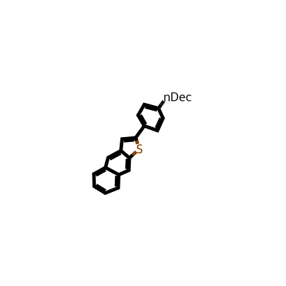 CCCCCCCCCCc1ccc(-c2cc3cc4ccccc4cc3s2)cc1